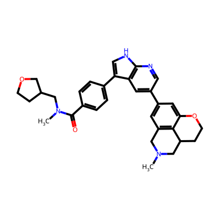 CN1Cc2cc(-c3cnc4[nH]cc(-c5ccc(C(=O)N(C)CC6CCOC6)cc5)c4c3)cc3c2C(CCO3)C1